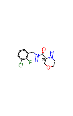 O=C(NCc1cccc(Cl)c1F)[C@@H]1COCCN1